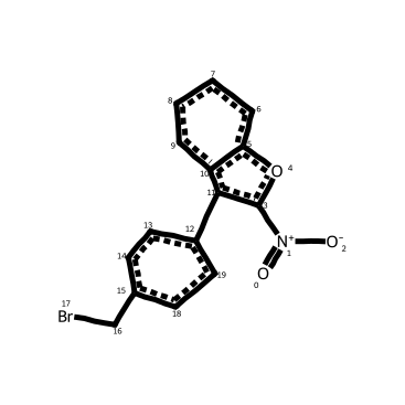 O=[N+]([O-])c1oc2ccccc2c1-c1ccc(CBr)cc1